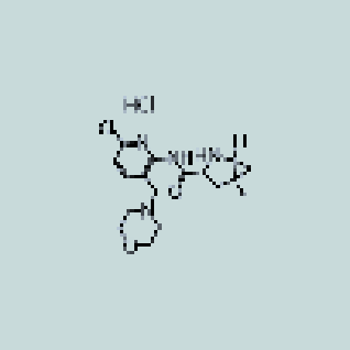 C[C@@]12C[C@@H](C(=O)Nc3nc(Cl)ccc3CN3CCOCC3)N[C@@H]1C2.Cl